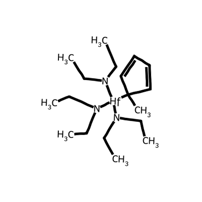 CC[N](CC)[Hf]([N](CC)CC)([N](CC)CC)[C]1(C)C=CC=C1